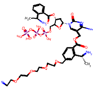 CC(N)c1ccccc1C(=O)O[C@@H]1C[C@H](n2cc(COC(=O)c3ccc(COCCOCCOCCOCCN)cc3[C@@H](C)N)c(N)nc2=O)OC1COP(=O)(O)OP(=O)(O)OP(=O)(O)O